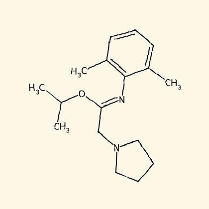 Cc1cccc(C)c1/N=C(/CN1CCCC1)OC(C)C